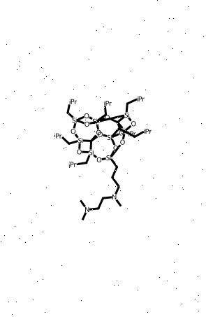 CC(C)C[Si]12OC34O[Si]5(CC(C)C)OC6(O1)[Si]1(CC(C)C)O[Si](CCCN(C)CCN(C)C)(O2)O[Si]3(CC(C)C)O[Si]4(CC(C)C)O[Si](CC(C)C)(O5)O[Si]6(CC(C)C)O1